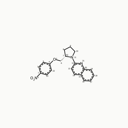 O=[N+]([O-])c1ccc(OC[C@@H]2CCCN2c2ccc3ccccc3n2)cc1